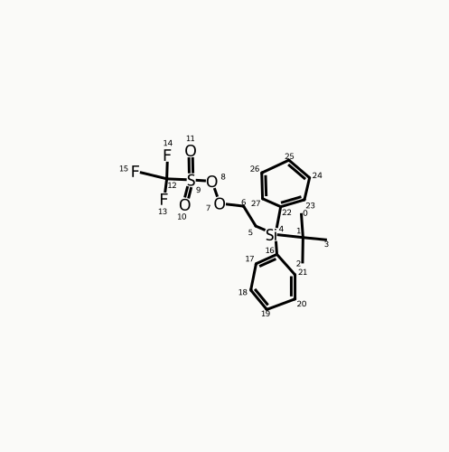 CC(C)(C)[Si](CCOOS(=O)(=O)C(F)(F)F)(c1ccccc1)c1ccccc1